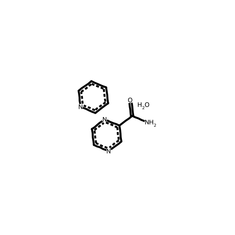 NC(=O)c1cnccn1.O.c1ccncc1